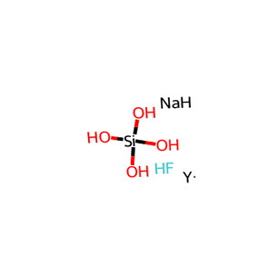 F.O[Si](O)(O)O.[NaH].[Y]